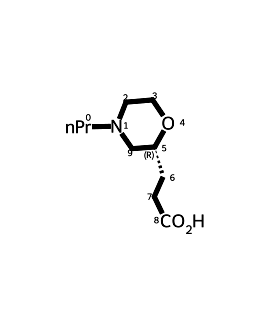 CCCN1CCO[C@H](CCC(=O)O)C1